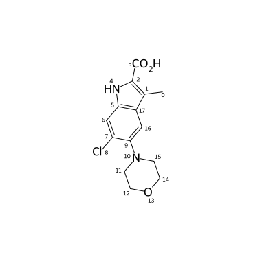 Cc1c(C(=O)O)[nH]c2cc(Cl)c(N3CCOCC3)cc12